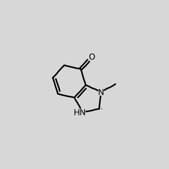 CN1[CH]NC2=C1C(=O)CC=C2